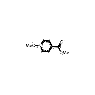 COC(=O)c1cc[n+](OC)cc1